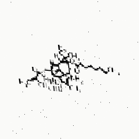 C/C=C(\C)C(=O)OCC1=C[C@@H]2C(=O)[C@]3(C=C(C)[C@H](O)[C@@]3(O)[C@@H]1O)[C@H](N)C[C@]1(OC(=O)CCCCCCC)[C@H]2C1(C)C